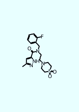 Cc1cc(C(=O)N(CCN2CCS(=O)(=O)CC2)Cc2ccccc2F)[nH]n1